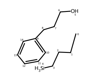 CCCC[SiH3].OCCCc1ccccc1